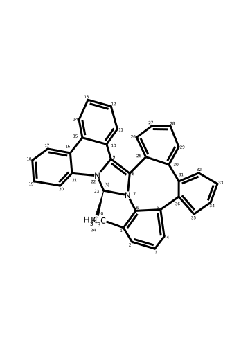 Cc1cccc2c1N1C(=C3c4ccccc4-c4ccccc4N3[C@@H]1C)c1ccccc1-c1ccccc1-2